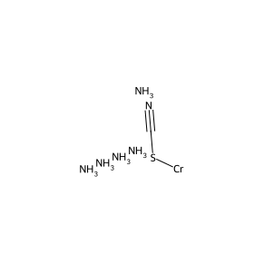 N.N.N.N.N.N#C[S][Cr]